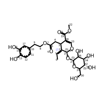 C/C=C1/C(CC(=O)OCCc2ccc(O)c(O)c2)C(C(=O)OC)=CO[C@H]1O[C@@H]1OC(CO)[C@@H](O)C(O)C1O